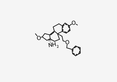 COc1ccc2c(c1)CCC1=C3CC(OC)C[C@]3(N)CCC12CCOCc1ccccc1